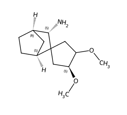 COC1CC2(C[C@@H]1OC)[C@H]1CC[C@H](C1)[C@@H]2N